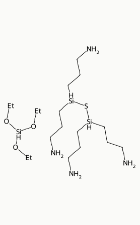 CCO[SiH](OCC)OCC.NCCC[SiH](CCCN)S[SiH](CCCN)CCCN